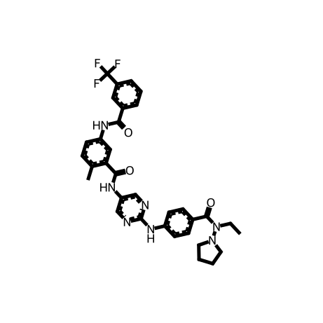 CCN(C(=O)c1ccc(Nc2ncc(NC(=O)c3cc(NC(=O)c4cccc(C(F)(F)F)c4)ccc3C)cn2)cc1)N1CCCC1